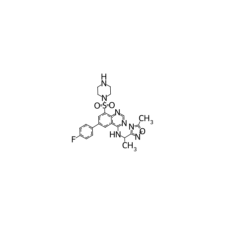 Cc1nc(C(C)Nc2ncnc3c(S(=O)(=O)N4CCNCC4)cc(-c4ccc(F)cc4)cc23)no1